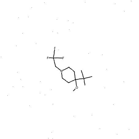 COC1(C(C)(C)C)CCN(CC(F)(F)F)CC1